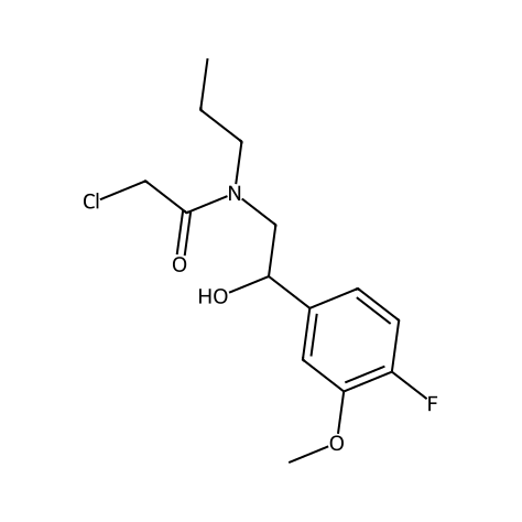 CCCN(CC(O)c1ccc(F)c(OC)c1)C(=O)CCl